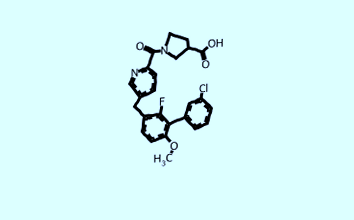 COc1ccc(Cc2ccc(C(=O)N3CCC(C(=O)O)C3)nc2)c(F)c1-c1cccc(Cl)c1